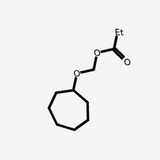 CCC(=O)OCOC1CCCCCC1